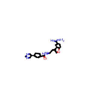 N=C(N)c1ccc2c(c1)C(CCNC(=O)c1ccc(-c3cncnc3)cc1)CO2